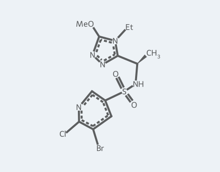 CCn1c(OC)nnc1[C@@H](C)NS(=O)(=O)c1cnc(Cl)c(Br)c1